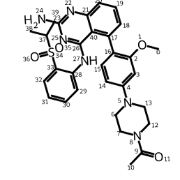 COc1cc(N2CCN(C(C)=O)CC2)ccc1-c1cccc2nc(N)nc(Nc3ccccc3S(=O)(=O)C(C)C)c12